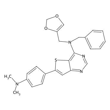 CN(C)c1ccc(-c2cc3ncnc(N(CC4=COCO4)Cc4ccccc4)c3s2)cc1